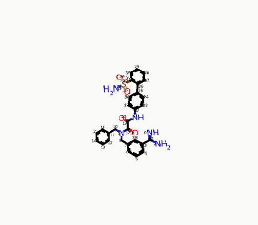 N=C(N)c1cccc(CN(Cc2ccccc2)C(=O)C(=O)Nc2ccc(-c3ccccc3S(N)(=O)=O)cc2)c1